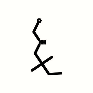 CCC(C)(C)CNC[O]